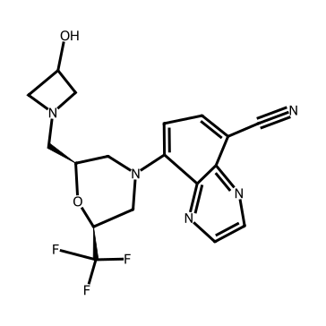 N#Cc1ccc(N2C[C@H](CN3CC(O)C3)O[C@H](C(F)(F)F)C2)c2nccnc12